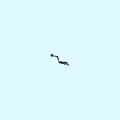 C=C[CH2][K]